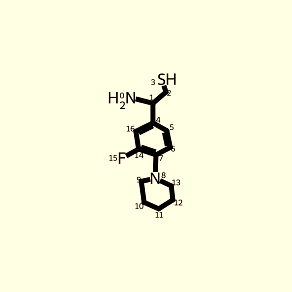 NC(CS)c1ccc(N2CCCCC2)c(F)c1